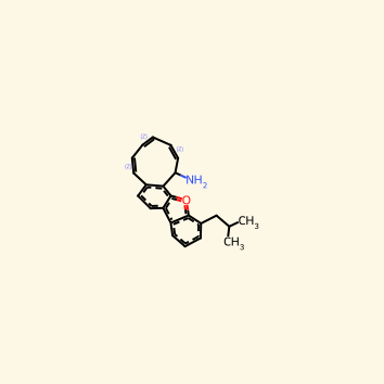 CC(C)Cc1cccc2c1oc1c3c(ccc12)\C=C/C=C\C=C/C3N